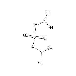 [2H]C([2H])OS(=O)(=O)OC([2H])[2H]